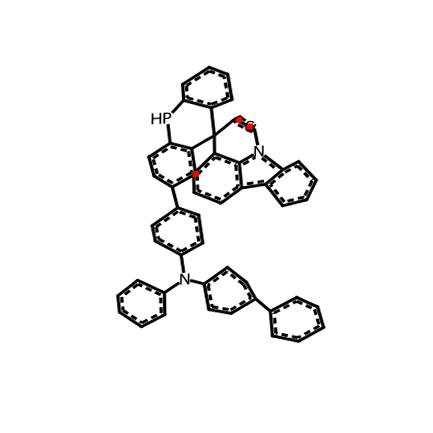 c1ccc(-c2ccc(N(c3ccccc3)c3ccc(-c4ccc5c(c4)C4(c6ccccc6P5)c5ccccc5-n5c6ccccc6c6cccc4c65)cc3)cc2)cc1